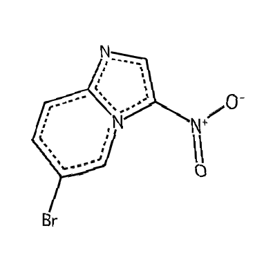 O=[N+]([O-])c1cnc2ccc(Br)cn12